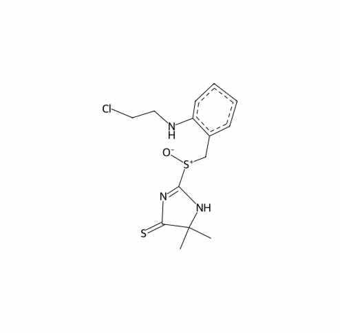 CC1(C)NC([S+]([O-])Cc2ccccc2NCCCl)=NC1=S